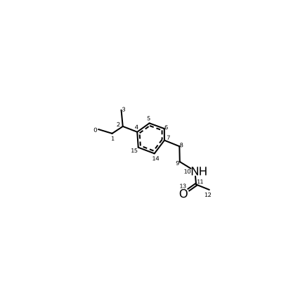 CCC(C)c1ccc(CCNC(C)=O)cc1